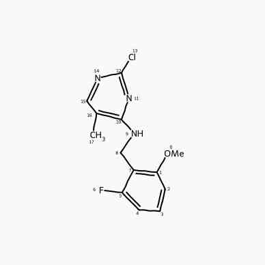 COc1cccc(F)c1CNc1nc(Cl)ncc1C